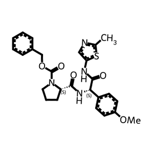 COc1ccc([C@H](NC(=O)[C@@H]2CCCN2C(=O)OCc2ccccc2)C(=O)Nc2cnc(C)s2)cc1